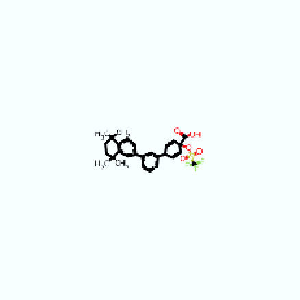 CC1(C)CCC(C)(C)c2cc(-c3cccc(C4C=CC(OS(=O)(=O)C(F)(F)F)(C(=O)O)C=C4)c3)ccc21